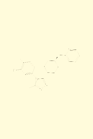 Cc1nnc([C@H]2CC[C@H](Oc3ccccn3)CC2)n1-c1ccc(F)c(F)c1